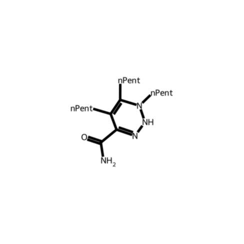 CCCCCC1=C(CCCCC)N(CCCCC)NN=C1C(N)=O